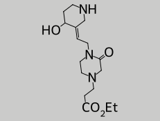 CCOC(=O)CCN1CCN(C/C=C2\CNCCC2O)C(=O)C1